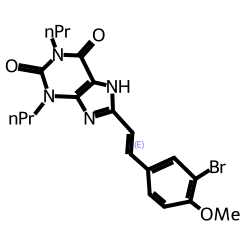 CCCn1c(=O)c2[nH]c(/C=C/c3ccc(OC)c(Br)c3)nc2n(CCC)c1=O